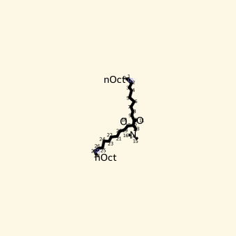 CCCCCCCC/C=C\CCCCCCCC(=O)C(CN(C)C)C(=O)CCCCCCC/C=C\CCCCCCCC